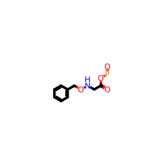 O=POC(=O)CNOCc1ccccc1